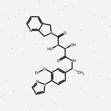 CCOc1cc([C@@H](C)NC(=O)[C@H](O)[C@@H](O)C(=O)N2Cc3cccnc3C2)ccc1-n1cccn1